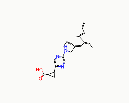 C=C/C=C(C)/C(/C=C(\C=C/C)CNc1cnc(C2CC2C(=O)O)cn1)=C/C